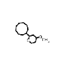 COC1CCOC([C]2CCCCCCCC2)C1